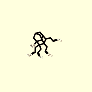 C=CCC1C2CC3CC(N)(C2)C(CC=C)(CC=C)C1(CC=C)C3